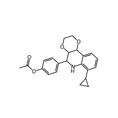 CC(=O)Oc1ccc(C2Nc3c(C4CC4)cccc3C3OCCOC23)cc1